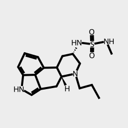 CCCN1C[C@@H](NS(=O)(=O)NC)CC2c3cccc4[nH]cc(c34)C[C@H]21